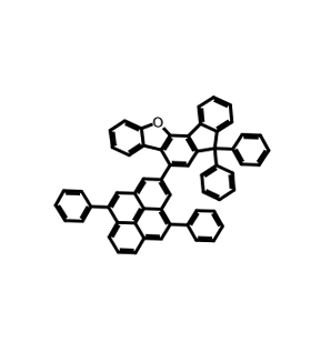 c1ccc(-c2cc3cc(-c4cc5c(c6oc7ccccc7c46)-c4ccccc4C5(c4ccccc4)c4ccccc4)cc4c(-c5ccccc5)cc5cccc2c5c34)cc1